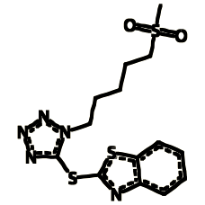 CS(=O)(=O)CCCCCn1nnnc1Sc1nc2ccccc2s1